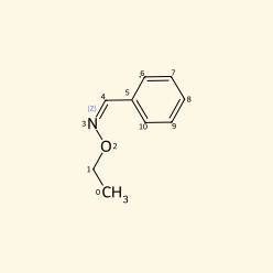 CCO/N=C\c1[c]cccc1